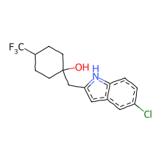 OC1(Cc2cc3cc(Cl)ccc3[nH]2)CCC(C(F)(F)F)CC1